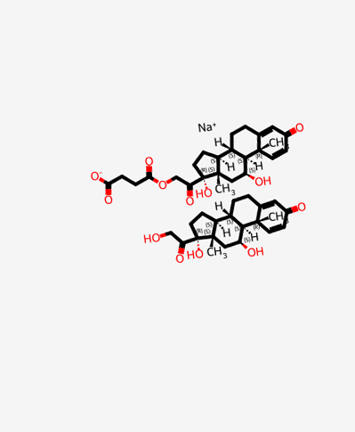 C[C@]12C=CC(=O)C=C1CC[C@@H]1[C@@H]2[C@@H](O)C[C@@]2(C)[C@H]1CC[C@]2(O)C(=O)CO.C[C@]12C=CC(=O)C=C1CC[C@@H]1[C@@H]2[C@@H](O)C[C@@]2(C)[C@H]1CC[C@]2(O)C(=O)COC(=O)CCC(=O)[O-].[Na+]